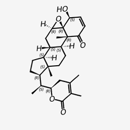 CC1=C(C)C(=O)O[C@@H]([C@@H](C)[C@H]2CC[C@H]3[C@@H]4C[C@H]5O[C@]56[C@@H](O)C=CC(=O)[C@]6(C)[C@H]4CC[C@]23C)C1